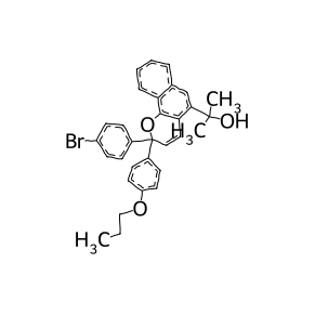 CCCOc1ccc(C2(c3ccc(Br)cc3)C=Cc3c(C(C)(C)O)cc4ccccc4c3O2)cc1